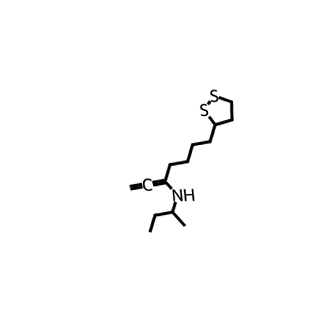 C=C=C(CCCCC1CCSS1)NC(C)CC